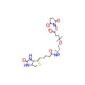 CC(C)(CCOC(C)(C)CCC(=O)ON1C(=O)CCC1=O)NC(=O)CCCCC1SCC2NC(=O)NC21